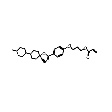 C#CC1(OC(=O)c2ccc(OCCCOC(=O)C=C)cc2)CCC(C2CCC(C)CC2)CC1